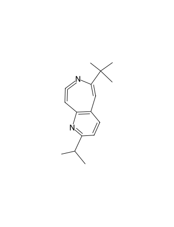 CC(C)c1ccc2c(n1)C=C=NC(C(C)(C)C)=C2